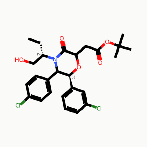 CC[C@@H](CO)N1C(=O)C(CC(=O)OC(C)(C)C)O[C@@H](c2cccc(Cl)c2)C1c1ccc(Cl)cc1